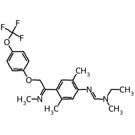 CCN(C)C=Nc1cc(C)c(C(COc2ccc(OC(F)(F)F)cc2)=NC)cc1C